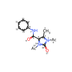 CC(=O)n1c(C)c(C(=O)Nc2ccccc2)n(C(C)=O)c1=O